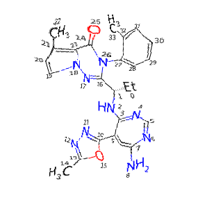 CC[C@H](Nc1ncnc(N)c1-c1nnc(C)o1)c1nn2ccc(C)c2c(=O)n1-c1ccccc1C